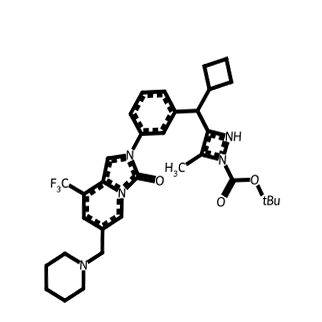 Cc1c(C(c2cccc(-n3cc4c(C(F)(F)F)cc(CN5CCCCC5)cn4c3=O)c2)C2CCC2)[nH]n1C(=O)OC(C)(C)C